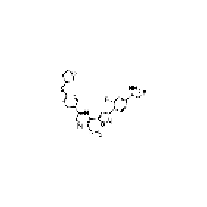 Nc1ncc(-c2ccc(SC3CCOC3)cc2)nc1-c1cc(-c2ccc(C(N)CF)cc2F)no1